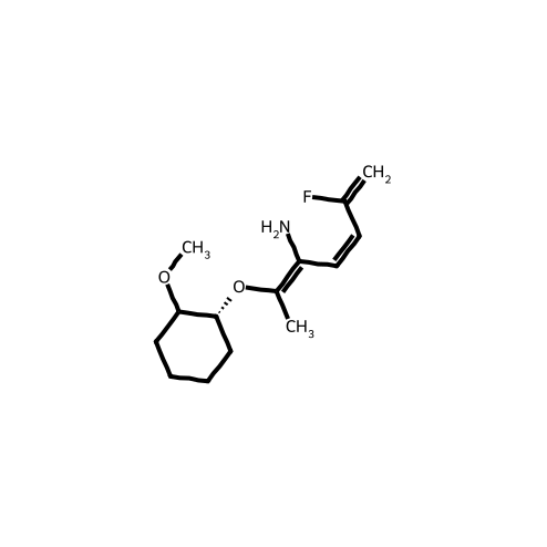 C=C(F)/C=C\C(N)=C(/C)O[C@@H]1CCCCC1OC